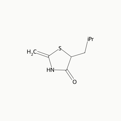 C=C1NC(=O)C(CC(C)C)S1